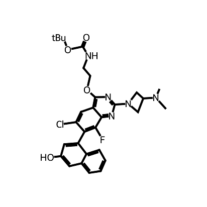 CN(C)C1CN(c2nc(OCCNC(=O)OC(C)(C)C)c3cc(Cl)c(-c4cc(O)cc5ccccc45)c(F)c3n2)C1